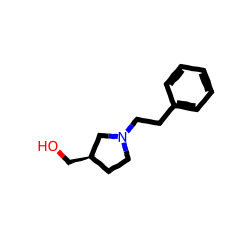 OC[C@@H]1CCN(CCc2ccccc2)C1